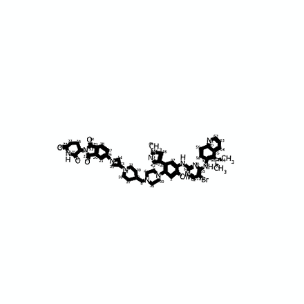 COc1cc(N2CCN(CC3CCN(C4CN(c5ccc6c(c5)C(=O)N(C5CCC(=O)NC5=O)C6=O)C4)CC3)CC2)c(-c2cnn(C)c2)cc1Nc1ncc(Br)c(Nc2ccc3ncccc3c2P(C)C)n1